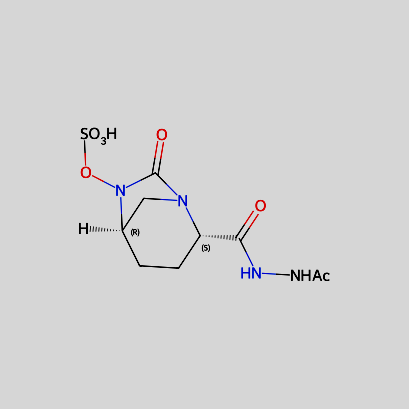 CC(=O)NNC(=O)[C@@H]1CC[C@@H]2CN1C(=O)N2OS(=O)(=O)O